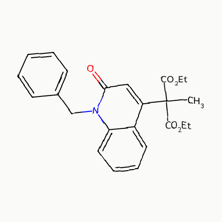 CCOC(=O)C(C)(C(=O)OCC)c1cc(=O)n(Cc2ccccc2)c2ccccc12